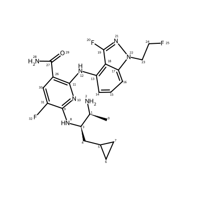 C[C@H](N)[C@@H](CC1CC1)Nc1nc(Nc2cccc3c2c(F)nn3CCF)c(C(N)=O)cc1F